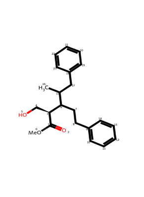 COC(=O)[C@@H](CO)C(CCc1ccccc1)C(C)Cc1ccccc1